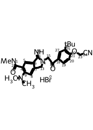 Br.CNC(=O)c1cc2c(cc1N(C)C)CN(CC(=O)c1ccc(OCC#N)c(C(C)(C)C)c1)C2=N